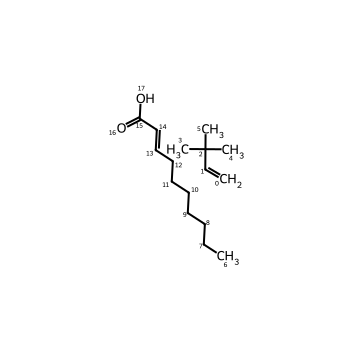 C=CC(C)(C)C.CCCCCCCC=CC(=O)O